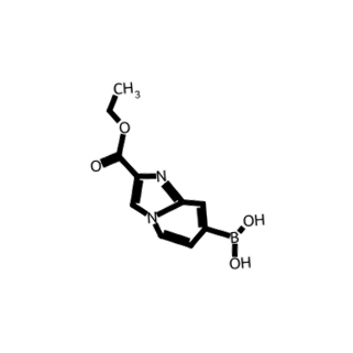 CCOC(=O)c1cn2ccc(B(O)O)cc2n1